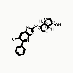 O[C@@H]1CO[C@H]2[C@@H]1OC[C@H]2Oc1nc2nc(-c3ccccc3)c(Cl)cc2[nH]1